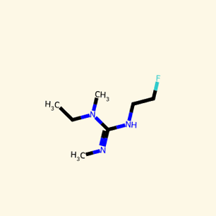 CCN(C)/C(=N\C)NCCF